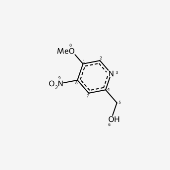 COc1cnc(CO)cc1[N+](=O)[O-]